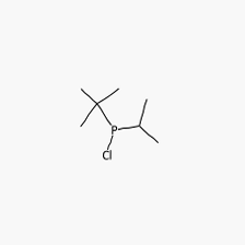 CC(C)P(Cl)C(C)(C)C